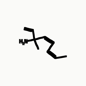 C=CC(C)(N)/C=C\C=C/C